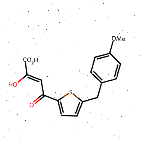 COc1ccc(Cc2ccc(C(=O)/C=C(\O)C(=O)O)s2)cc1